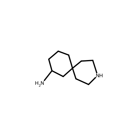 NC1CCCC2(CCNCC2)C1